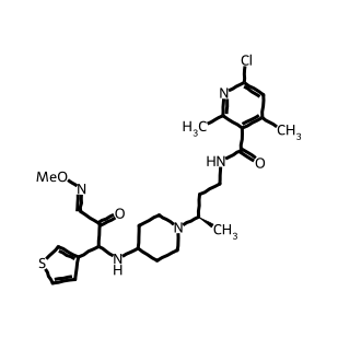 CO/N=C/C(=O)C(NC1CCN([C@H](C)CCNC(=O)c2c(C)cc(Cl)nc2C)CC1)c1ccsc1